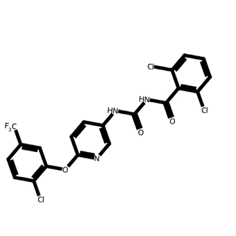 O=C(NC(=O)c1c(Cl)cccc1Cl)Nc1ccc(Oc2cc(C(F)(F)F)ccc2Cl)nc1